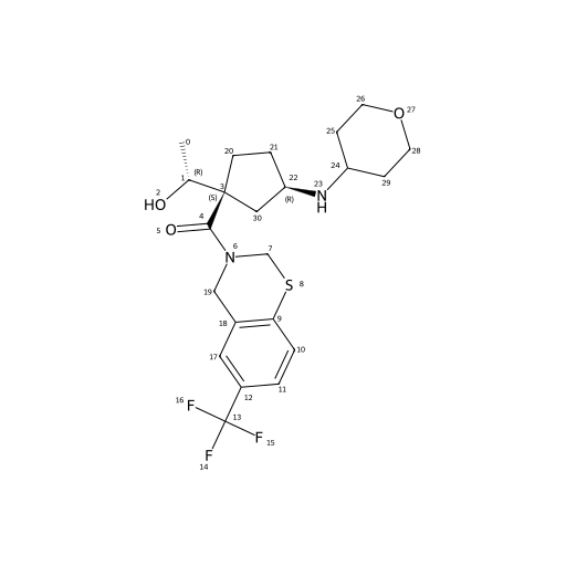 C[C@@H](O)[C@]1(C(=O)N2CSc3ccc(C(F)(F)F)cc3C2)CC[C@@H](NC2CCOCC2)C1